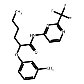 CCCCC(Oc1cccc(C)c1)C(=O)Nc1ccnc(C(F)(F)F)n1